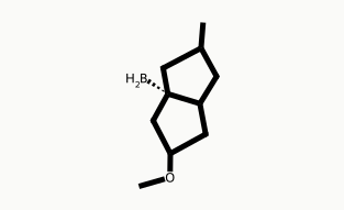 B[C@]12CC(C)CC1CC(OC)C2